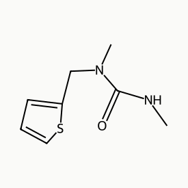 CNC(=O)N(C)Cc1cccs1